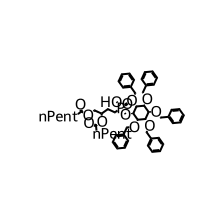 CCCCCC(=O)OCC(CCP(=O)(O)O[C@@H]1[C@@H](OCc2ccccc2)[C@H](OCc2ccccc2)[C@@H](OCc2ccccc2)[C@H](OCc2ccccc2)[C@@H]1OCc1ccccc1)OC(=O)CCCCC